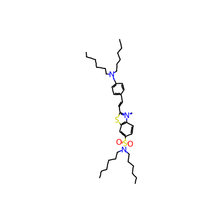 CCCCCCN(CCCCCC)c1ccc(C=Cc2sc3cc(S(=O)(=O)N(CCCCCC)CCCCCC)ccc3[n+]2C)cc1